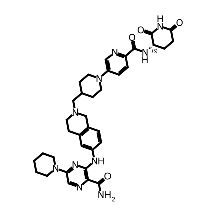 NC(=O)c1ncc(N2CCCCC2)nc1Nc1ccc2c(c1)CCN(CC1CCN(c3ccc(C(=O)N[C@H]4CCC(=O)NC4=O)nc3)CC1)C2